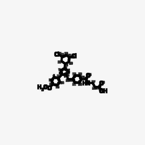 COc1ccc(-c2cc(C3C=C(Cl)C=C(Cl)C3)nn2Cc2ccc(C(=O)NCCC(=O)O)cc2)cc1